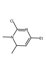 CCC1=CC(C)N(C)C(Cl)=N1